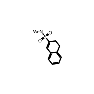 CNS(=O)(=O)C1=Cc2ccccc2CC1